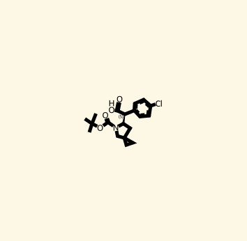 CC(C)(C)OC(=O)N1CC2(CC2)CC1[C@@H](C(=O)O)c1ccc(Cl)cc1